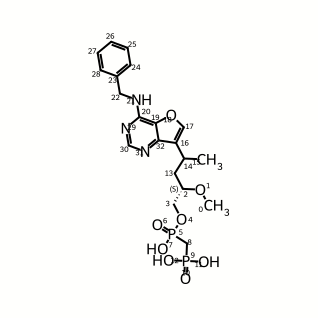 CO[C@H](COP(=O)(O)CP(=O)(O)O)CC(C)c1coc2c(NCc3ccccc3)ncnc12